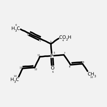 CC#CC(C(=O)O)P(=O)(CC=CC)CC=CC